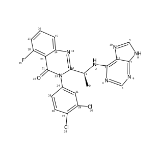 C[C@H](Nc1ncnc2[nH]cnc12)c1nc2cccc(F)c2c(=O)n1-c1ccc(Cl)c(Cl)c1